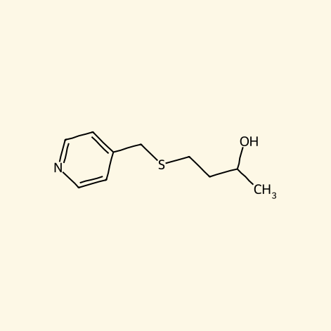 CC(O)CCSCc1ccncc1